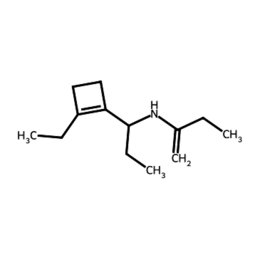 C=C(CC)NC(CC)C1=C(CC)CC1